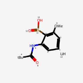 COc1cccc(NC(=O)C(C)(C)C)c1S(=O)O.[LiH]